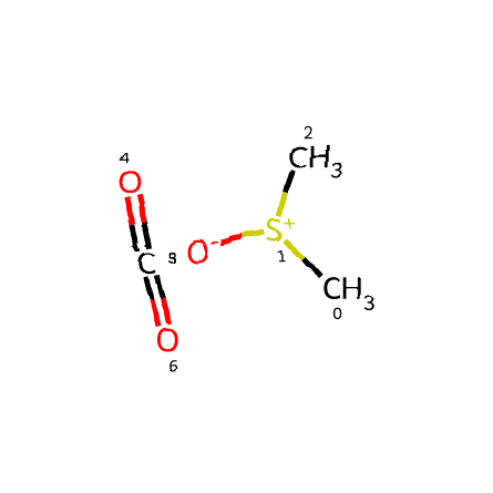 C[S+](C)[O-].O=C=O